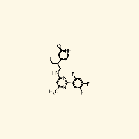 Cc1cc(NCC(CI)c2cc[nH]c(=O)c2)nc(-c2cc(F)c(F)cc2F)n1